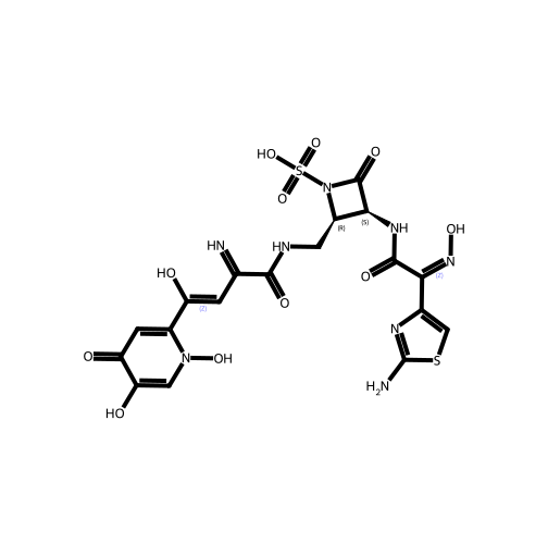 N=C(/C=C(\O)c1cc(=O)c(O)cn1O)C(=O)NC[C@@H]1[C@H](NC(=O)/C(=N\O)c2csc(N)n2)C(=O)N1S(=O)(=O)O